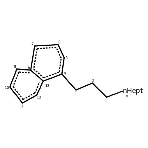 C[CH]CCCCCCCCc1cccc2ccccc12